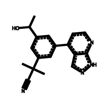 CC(O)c1cc(-c2ccnc3[nH]ncc23)cc(C(C)(C)C#N)c1